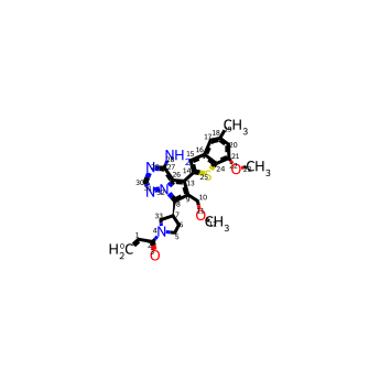 C=CC(=O)N1CC[C@H](c2c(COC)c(-c3cc4cc(C)cc(OC)c4s3)c3c(N)ncnn23)C1